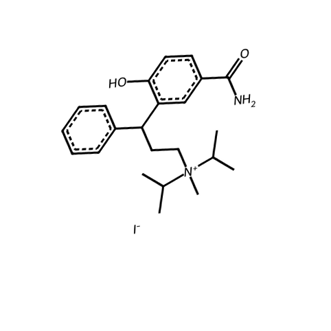 CC(C)[N+](C)(CCC(c1ccccc1)c1cc(C(N)=O)ccc1O)C(C)C.[I-]